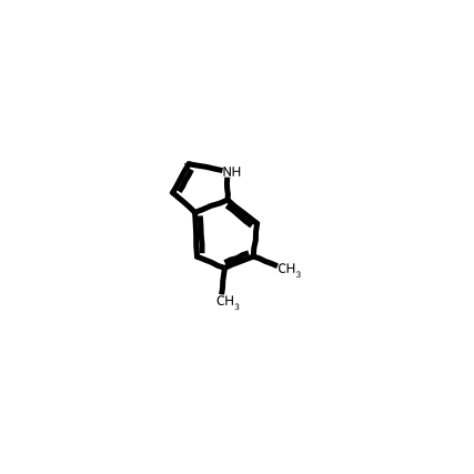 Cc1cc2c[c][nH]c2cc1C